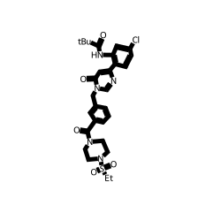 CCS(=O)(=O)N1CCN(C(=O)c2cccc(Cn3cnc(-c4ccc(Cl)cc4NC(=O)C(C)(C)C)cc3=O)c2)CC1